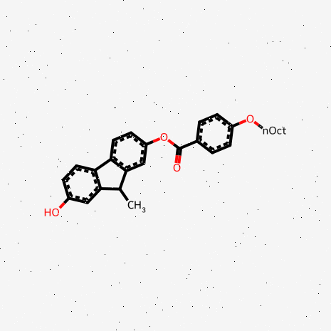 CCCCCCCCOc1ccc(C(=O)Oc2ccc3c(c2)C(C)c2cc(O)ccc2-3)cc1